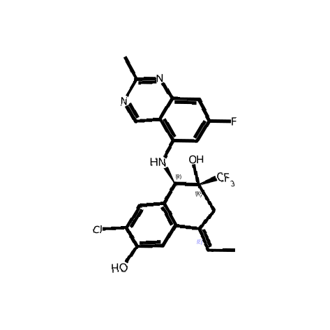 C/C=C1\C[C@](O)(C(F)(F)F)[C@H](Nc2cc(F)cc3nc(C)ncc23)c2cc(Cl)c(O)cc21